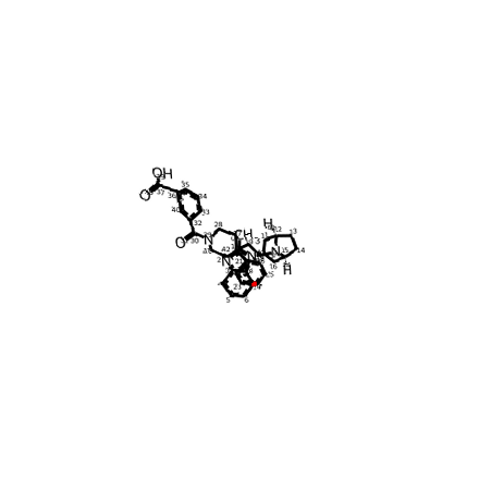 Cc1nc2ccccc2n1[C@H]1C[C@H]2CC[C@@H](C1)N2CCC1(c2ccccc2)CCN(C(=O)c2cccc(C(=O)O)c2)CC1